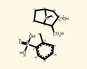 CN1C2CCC1C(C(=O)O)[C@@H](O)C2.Cc1ccccc1P(=O)(O)O